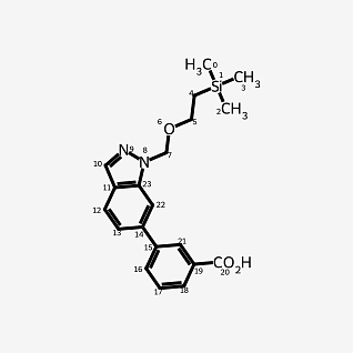 C[Si](C)(C)CCOCn1ncc2ccc(-c3cccc(C(=O)O)c3)cc21